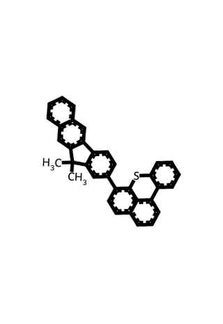 CC1(C)c2cc(-c3ccc4cccc5c4c3Sc3ccccc3-5)ccc2-c2cc3ccccc3cc21